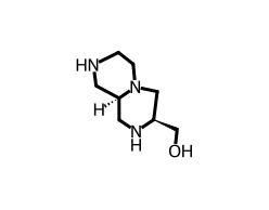 OC[C@@H]1CN2CCNC[C@@H]2CN1